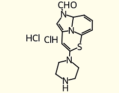 Cl.Cl.O=CN1C=C2C=C(N3CCNCC3)SC3=CC=CC1N23